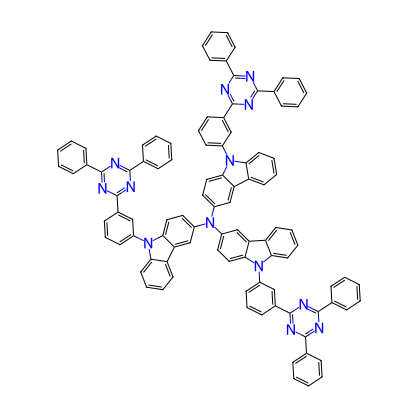 c1ccc(-c2nc(-c3ccccc3)nc(-c3cccc(-n4c5ccccc5c5cc(N(c6ccc7c(c6)c6ccccc6n7-c6cccc(-c7nc(-c8ccccc8)nc(-c8ccccc8)n7)c6)c6ccc7c(c6)c6ccccc6n7-c6cccc(-c7nc(-c8ccccc8)nc(-c8ccccc8)n7)c6)ccc54)c3)n2)cc1